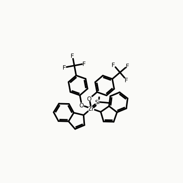 C[Si](C)=[Zr]([O]c1ccc(C(F)(F)F)cc1)([O]c1ccc(C(F)(F)F)cc1)([CH]1C=Cc2ccccc21)[CH]1C=Cc2ccccc21